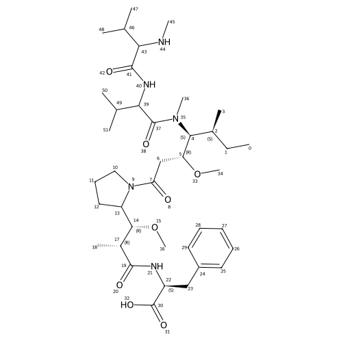 CC[C@H](C)[C@@H]([C@@H](CC(=O)N1CCCC1[C@H](OC)[C@@H](C)C(=O)N[C@@H](Cc1ccccc1)C(=O)O)OC)N(C)C(=O)C(NC(=O)C(NC)C(C)C)C(C)C